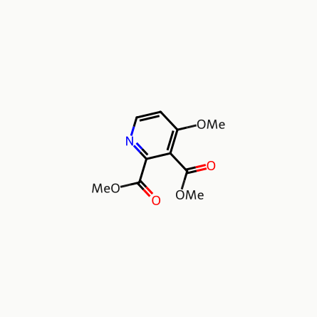 COC(=O)c1nccc(OC)c1C(=O)OC